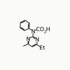 CCc1cc(C)nc(N(C(=O)O)c2ccccc2)n1